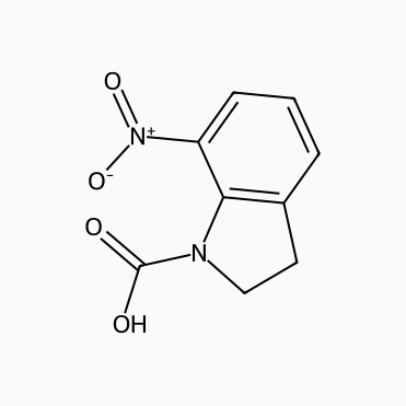 O=C(O)N1CCc2cccc([N+](=O)[O-])c21